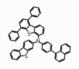 c1ccc(-c2ccc(-c3ccccc3)c3c2sc2c(N(c4ccc(-c5cccc6ccccc56)cc4)c4ccc5c(c4)sc4ccccc45)cccc23)cc1